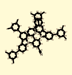 Cc1cc(C)cc(-c2ccc3c(c2)c2cc(-c4cc(C)cc(C)c4)ccc2n3-c2cc(C#N)cc(-n3c4ccc(-c5cc(C)cc(C)c5)cc4c4cc(-c5cc(C)cc(C)c5)ccc43)c2-c2cccc(-c3ccccc3)n2)c1